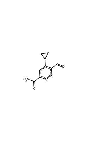 NC(=O)c1cc(C2CC2)c(C=O)cn1